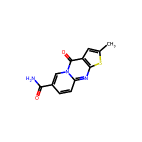 Cc1cc2c(=O)n3cc(C(N)=O)ccc3nc2s1